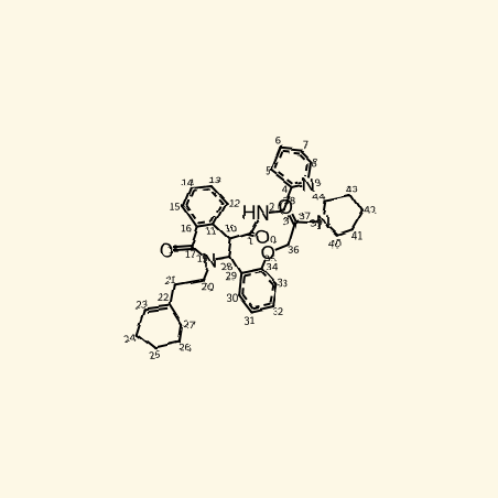 O=C(NCc1ccccn1)C1c2ccccc2C(=O)N(CCC2=CCCCC2)C1c1ccccc1OCC(=O)N1CCCCC1